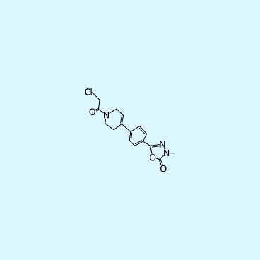 Cn1nc(-c2ccc(C3=CCN(C(=O)CCl)CC3)cc2)oc1=O